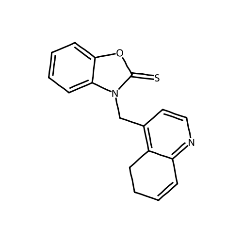 S=c1oc2ccccc2n1Cc1ccnc2c1CCC=C2